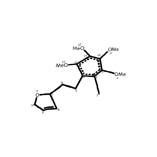 COc1c(C)c(CCC2C=CCO2)c(OC)c(OC)c1OC